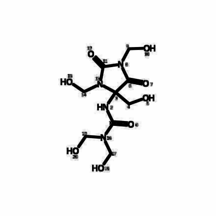 O=C(NC1(CO)C(=O)N(CO)C(=O)N1CO)N(CO)CO